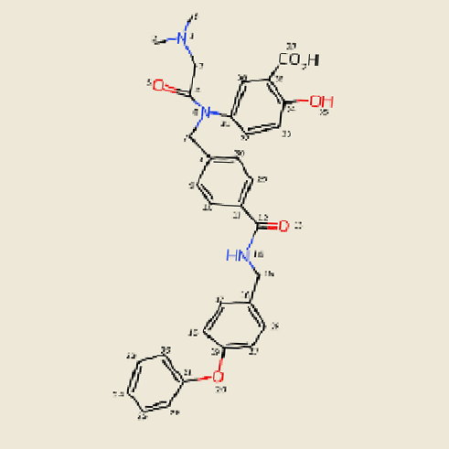 CN(C)CC(=O)N(Cc1ccc(C(=O)NCc2ccc(Oc3ccccc3)cc2)cc1)c1ccc(O)c(C(=O)O)c1